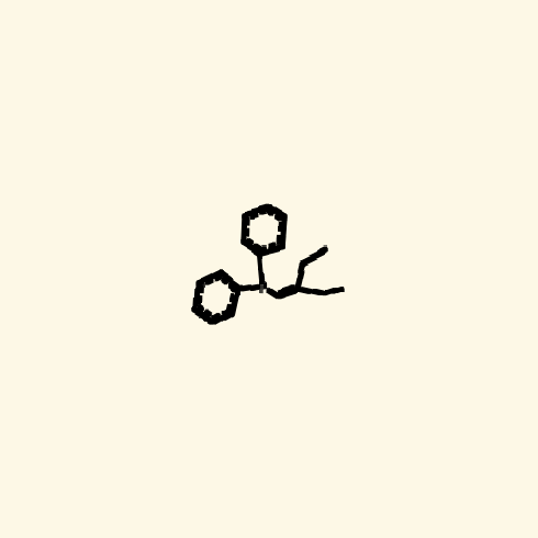 CCC(=CP(c1ccccc1)c1ccccc1)CC